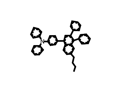 CCCCc1ccc2c(-c3ccc(N(c4ccccc4)c4ccccc4)cc3)cc(-c3ccccc3)c(-c3ccccc3)c2c1